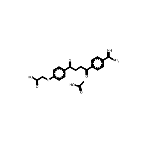 CC(=O)O.N=C(N)c1ccc(C(=O)CCC(=O)c2ccc(OCC(=O)O)cc2)cc1